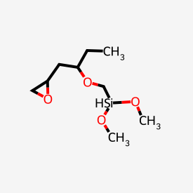 CCC(CC1CO1)OC[SiH](OC)OC